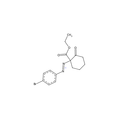 CCOC(=O)C1(/N=N/c2ccc(Br)cc2)CCCCC1=O